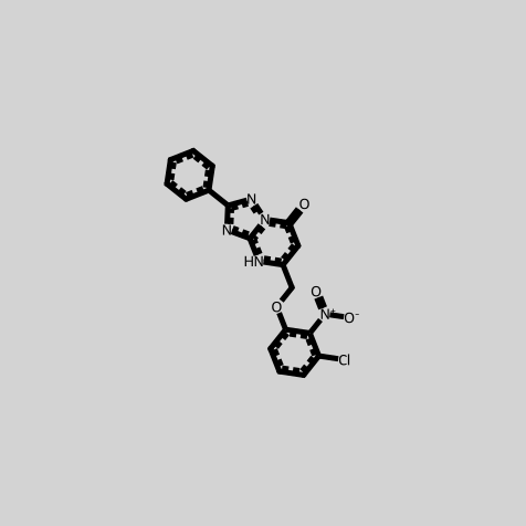 O=c1cc(COc2cccc(Cl)c2[N+](=O)[O-])[nH]c2nc(-c3ccccc3)nn12